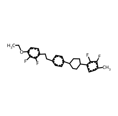 CCOc1ccc(CCc2ccc(C3CCC(c4ccc(C)c(F)c4F)CC3)cc2)c(F)c1F